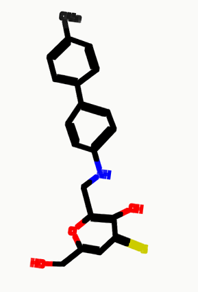 COc1ccc(-c2ccc(NCc3oc(CO)cc(=S)c3O)cc2)cc1